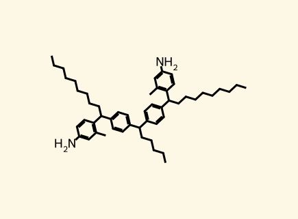 CCCCCCCCCC(c1ccc(C(CCCCC)c2ccc(C(CCCCCCCCC)c3ccc(N)cc3C)cc2)cc1)c1ccc(N)cc1C